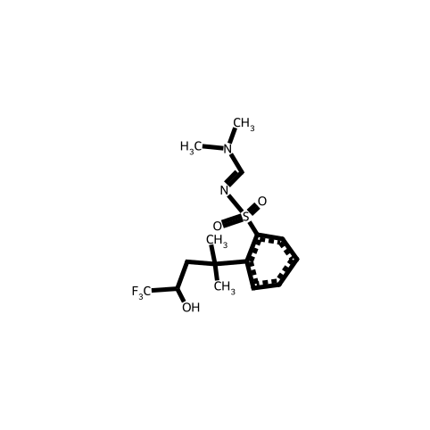 CN(C)C=NS(=O)(=O)c1ccccc1C(C)(C)CC(O)C(F)(F)F